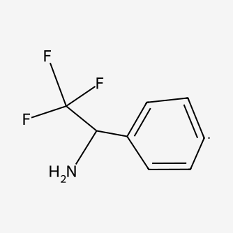 NC(c1cc[c]cc1)C(F)(F)F